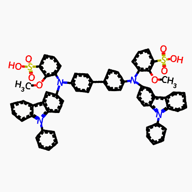 COc1c(N(c2ccc(-c3ccc(N(c4ccc5c(c4)c4ccccc4n5-c4ccccc4)c4cccc(S(=O)(=O)O)c4OC)cc3)cc2)c2ccc3c(c2)c2ccccc2n3-c2ccccc2)cccc1S(=O)(=O)O